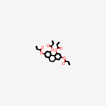 C=CC(=O)Oc1cc2c(c(OC(=O)C=C)c1)-c1c(cc(OC(=O)C=C)cc1OC(=O)C=C)CC2